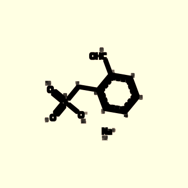 O=Cc1ccccc1CS(=O)(=O)[O-].[Na+]